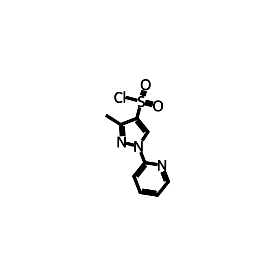 Cc1nn(-c2ccccn2)cc1S(=O)(=O)Cl